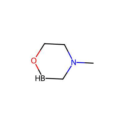 CN1CBOCC1